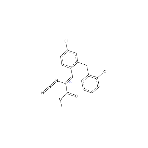 COC(=O)/C(=C/c1ccc(Cl)cc1Cc1ccccc1Cl)N=[N+]=[N-]